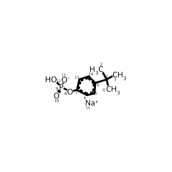 CC(C)(C)c1ccc(OP(=O)([O-])O)cc1.[Na+]